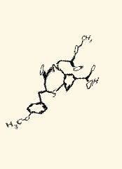 CCOC(=O)CN1C(=O)C(Cc2ccc(OC)cc2)Sc2ccc(C(=O)O)cc21